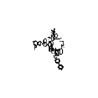 CC(C)(C)OC(=O)N[C@H]1CCCCCCC[C@@H]2C[C@@]2(C(=O)NOc2ccc(-c3ccccc3)cc2)NC(=O)[C@@H]2C[C@@H](OC(=O)N3CC4C=CC=C(F)C4C3)CN2C1=O